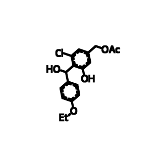 CCOc1ccc(C(O)c2c(O)cc(COC(C)=O)cc2Cl)cc1